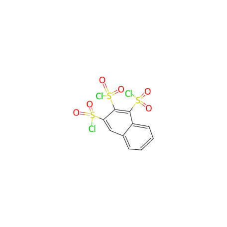 O=S(=O)(Cl)c1cc2ccccc2c(S(=O)(=O)Cl)c1S(=O)(=O)Cl